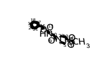 CS(=O)(=O)N1CCN(C(=O)CNC(=O)OCc2ccccc2)CC1